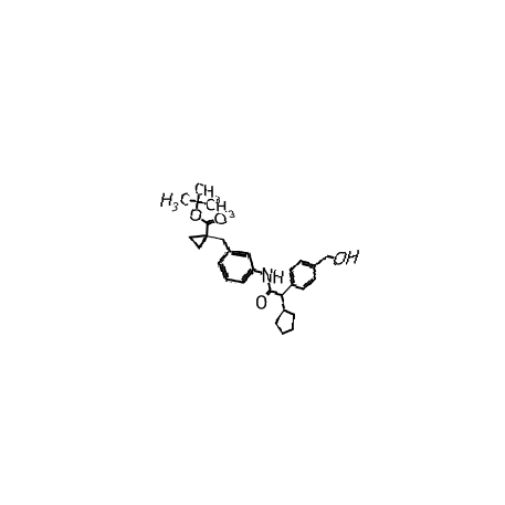 CC(C)(C)OC(=O)C1(Cc2cccc(NC(=O)C(c3ccc(CO)cc3)C3CCCC3)c2)CC1